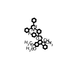 COc1cc2c3c(c4c(c2cc1OC)-c1ccccc1C4(C)C)C=CC(c1ccc(F)cc1)(c1cccc(-c2nc(-c4ccccc4)cc(-c4ccccc4)n2)c1)O3